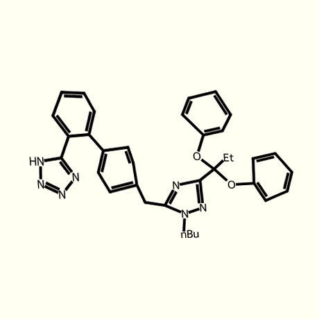 CCCCn1nc(C(CC)(Oc2ccccc2)Oc2ccccc2)nc1Cc1ccc(-c2ccccc2-c2nnn[nH]2)cc1